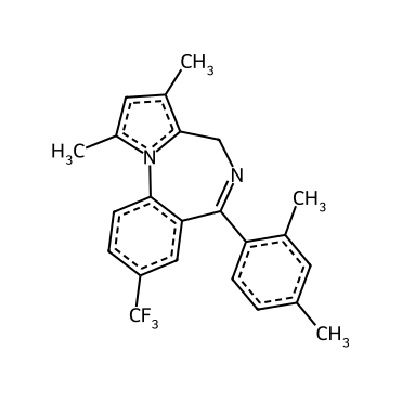 Cc1ccc(C2=NCc3c(C)cc(C)n3-c3ccc(C(F)(F)F)cc32)c(C)c1